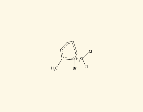 Cc1ccccc1Br.Cl[SiH2]Cl